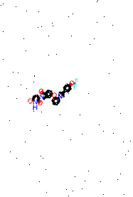 O=C1CCC(N2Cc3cc(O[C@@H]4CCCC[C@H]4N4CC(C5CCC(OC(F)F)CC5)C4)ccc3C2=O)C(=O)N1